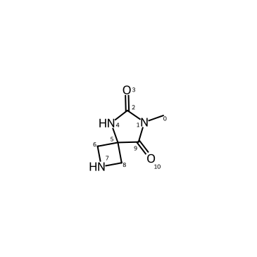 CN1C(=O)NC2(CNC2)C1=O